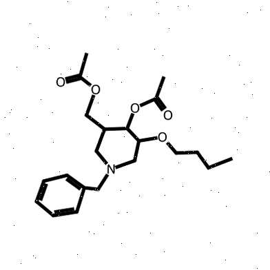 CCCCOC1CN(Cc2ccccc2)CC(COC(C)=O)C1OC(C)=O